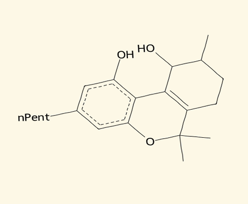 CCCCCc1cc(O)c2c(c1)OC(C)(C)C1=C2C(O)C(C)CC1